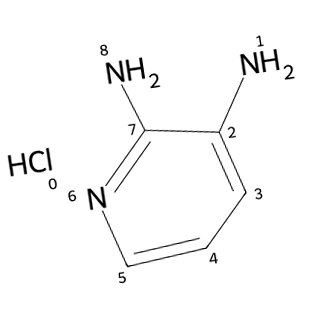 Cl.Nc1cccnc1N